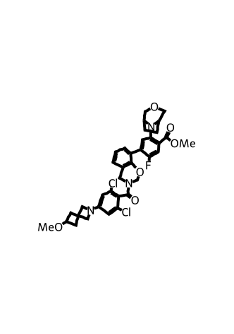 COC(=O)c1cc(F)c(-c2cccc3c2OCN(C(=O)c2c(Cl)cc(N4CC5(CC(OC)C5)C4)cc2Cl)C3)cc1N1C2CCC1COC2